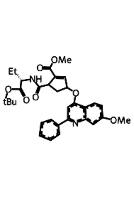 CC[C@H](NC(=O)C1CC(Oc2cc(-c3ccccc3)nc3cc(OC)ccc23)C=C1C(=O)OC)C(=O)OC(C)(C)C